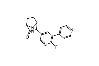 O=C1C2CCC(N2)C1c1cnc(F)c(-c2ccncc2)c1